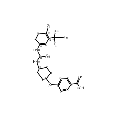 O=C(O)c1ccc(OC2CCC(NC(O)NC3=CC(C(F)(F)F)=C(Cl)CC3)CC2)cc1